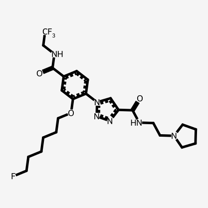 O=C(NCC(F)(F)F)c1ccc(-n2cc(C(=O)NCCN3CCCC3)nn2)c(OCCCCCCF)c1